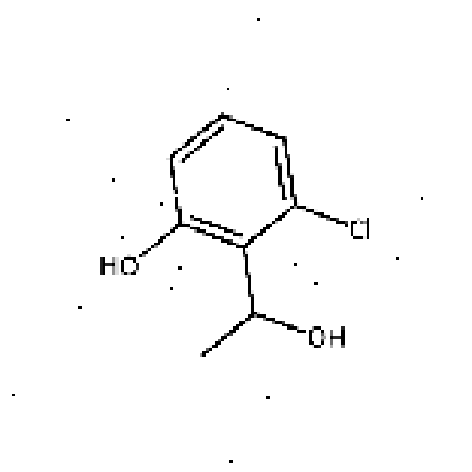 CC(O)c1c(O)cccc1Cl